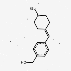 CC(C)(C)N1CCC(=Cc2ccc(CO)cc2)CC1